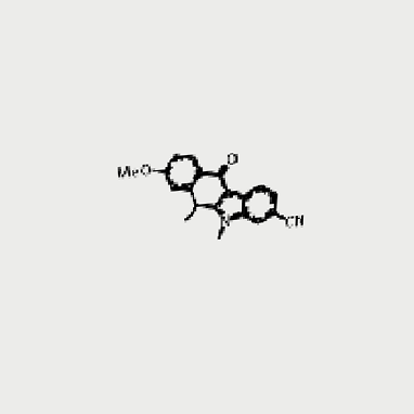 COc1ccc2c(c1)C(C)c1c(c3ccc(C#N)cc3n1C)C2=O